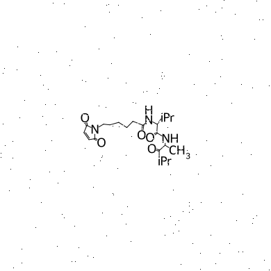 CC(C)C(=O)C(C)NC(=O)C(NC(=O)CCCCCN1C(=O)C=CC1=O)C(C)C